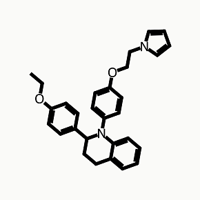 CCOc1ccc(C2CCc3ccccc3N2c2ccc(OCCn3cccc3)cc2)cc1